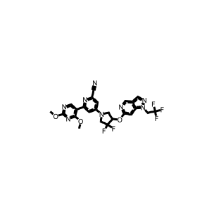 COc1ncc(-c2cc(N3CC(Oc4cc5c(cn4)cnn5CC(F)(F)F)C(F)(F)C3)cc(C#N)n2)c(OC)n1